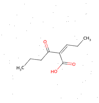 CCC=C(C(=O)O)C(=O)CCC